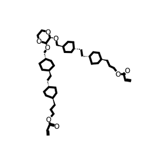 C=CC(=O)OCCC[C@H]1CC[C@H](CC[C@H]2CC[C@H](CO[C@H]3OCCO[C@@H]3OC[C@H]3CC[C@H](CC[C@H]4CC[C@H](CCCOC(=O)C=C)CC4)CC3)CC2)CC1